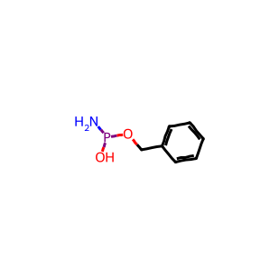 NP(O)OCc1ccccc1